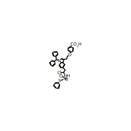 O=C(O)c1ccc(OCCc2cn(C(c3ccccc3)c3ccccc3)c3ccc(CC(Cl)NS(=O)(=O)CSc4ccccc4)cc23)cc1